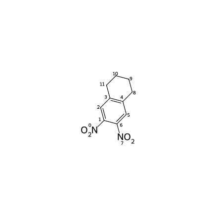 O=[N+]([O-])c1cc2c(cc1[N+](=O)[O-])CCCC2